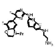 CC(C)N1CCOc2c(F)cc(-c3nc(Nc4ccc5cc(NCCN)oc5n4)ncc3F)cc21